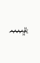 CCCCCCCCN[SiH2]C